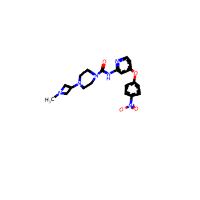 CN1CC(N2CCN(C(=O)Nc3cc(Oc4ccc([N+](=O)[O-])cc4)ccn3)CC2)C1